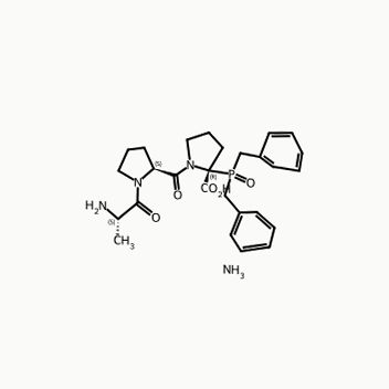 C[C@H](N)C(=O)N1CCC[C@H]1C(=O)N1CCC[C@]1(C(=O)O)P(=O)(Cc1ccccc1)Cc1ccccc1.N